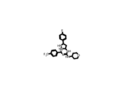 O=C(/N=C(/NC1CCOCC1)NC1CC(c2ccc(F)cc2)NN1)c1ccc(C(F)(F)F)cc1